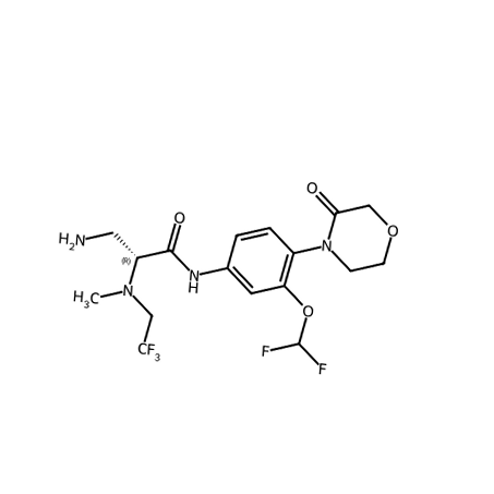 CN(CC(F)(F)F)[C@H](CN)C(=O)Nc1ccc(N2CCOCC2=O)c(OC(F)F)c1